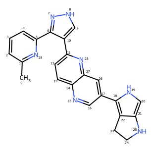 Cc1cccc(-c2n[nH]cc2-c2ccc3ncc(-c4[nH]cc5c4CCN5)cc3n2)n1